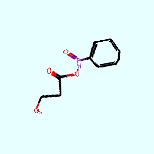 O=C(CCO)O[PH](=O)c1ccccc1